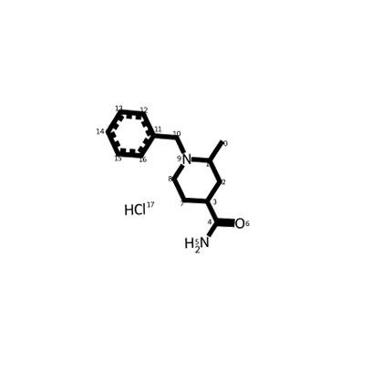 CC1CC(C(N)=O)CCN1Cc1ccccc1.Cl